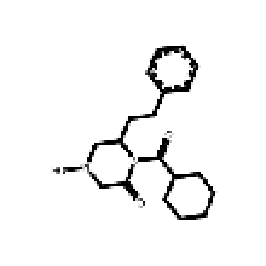 O=C1CN(O)CC(CCc2ccccc2)N1C(=O)C1CCCCC1